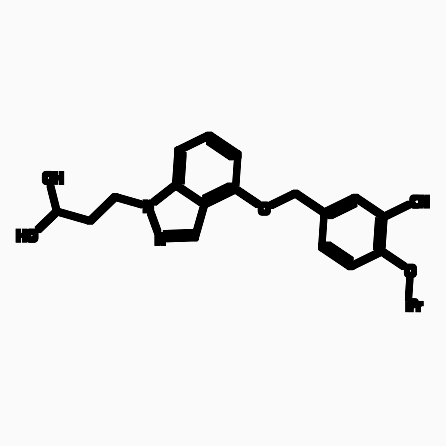 CC(C)Oc1ccc(COc2cccc3c2cnn3CCC(O)O)cc1C#N